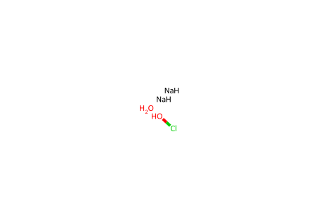 O.OCl.[NaH].[NaH]